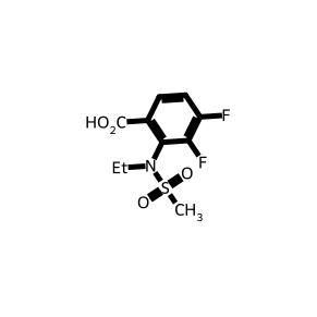 CCN(c1c(C(=O)O)ccc(F)c1F)S(C)(=O)=O